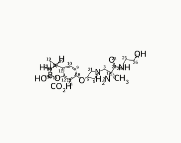 C[C@](N)(CN1CC(Oc2ccc3c(c2C(=O)O)OB(O)[C@@H]2C[C@H]32)C1)C(=O)NCCO